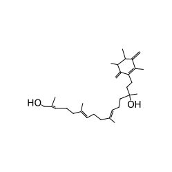 C=C1C(C)=C(CCC(C)(O)CC/C=C(\C)CC/C=C(\C)CC/C=C(\C)CO)C(=C)C(C)C1C